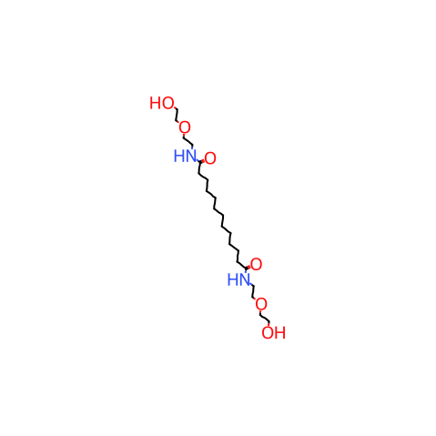 O=C(CCCCCCCCCCCC(=O)NCCOCCO)NCCOCCO